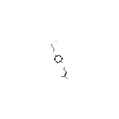 CC(C)=CCOc1ccc(OCCO)cc1